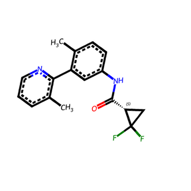 Cc1ccc(NC(=O)[C@@H]2CC2(F)F)cc1-c1ncccc1C